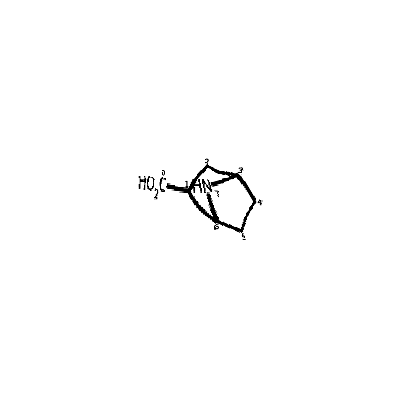 O=C(O)C1CC2CCC1N2